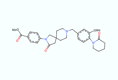 COC(=O)c1ccc(N2CC3(CCN(Cc4ccc(N5CCCCC5=O)c(OC)c4)CC3)CC2=O)cc1